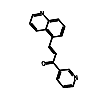 O=C(C=Cc1cccc2ncccc12)c1cccnc1